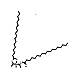 CCCCCCCCCCCCCCCCCC(=O)OC(C)[N+](C)(C)C(C)OC(=O)CCCCCCCCCCCCCCCCC.[Cl-]